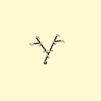 C=CCCCC(CCCC=C)OC(=O)CCCCCC(=O)OCC(COC(=O)CCCCCC(=O)OC(CCCC=C)CCCC=C)COC(=O)CCCN1CCCC1